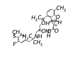 CSc1ccc(CC(C)(C)NC[C@@H](O)CO[C@H](C)c2ccc(C)c3c2[C@@H]2[C@H](O3)[C@H]2C(=O)O)cc1F